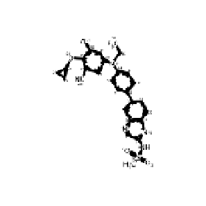 CS(=O)(=O)Nc1cnc2cc(-c3ccc(N(CC(F)(F)F)c4cc(Cl)c(OC5CC5)c(C#N)c4)cc3)ccc2n1